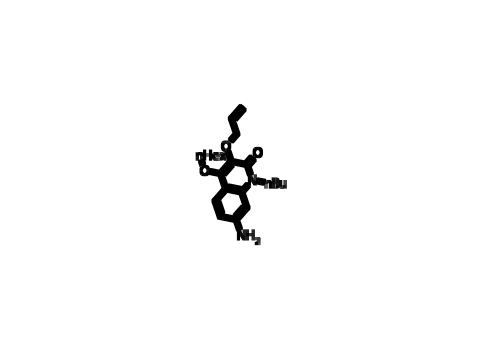 C=CCOc1c(OCCCCCC)c2ccc(N)cc2n(CCCC)c1=O